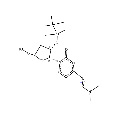 CN(C)/C=N/c1ccn([C@@H]2OC(CO)C[C@@H]2O[Si](C)(C)C(C)(C)C)c(=O)n1